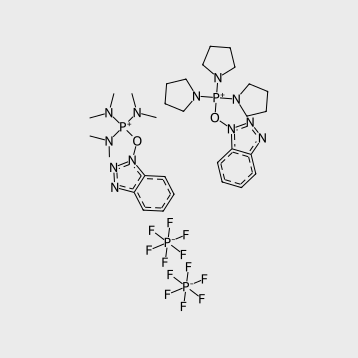 CN(C)[P+](On1nnc2ccccc21)(N(C)C)N(C)C.F[P-](F)(F)(F)(F)F.F[P-](F)(F)(F)(F)F.c1ccc2c(c1)nnn2O[P+](N1CCCC1)(N1CCCC1)N1CCCC1